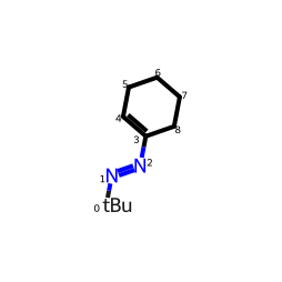 CC(C)(C)N=NC1=CCCCC1